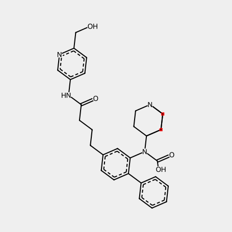 O=C(CCCc1ccc(-c2ccccc2)c(N(C(=O)O)C23CCN(CC2)CC3)c1)Nc1ccc(CO)nc1